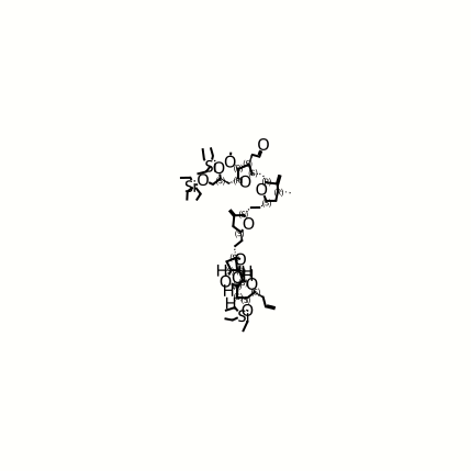 C=CC[C@@H]1O[C@H]2[C@@H]3O[C@H]4C[C@](CC[C@H]5CC(=C)[C@H](CC[C@H]6C[C@@H](C)C(=C)[C@@H](C[C@@H]7O[C@H](C[C@@H](CO[Si](CC)(CC)CC)O[Si](CC)(CC)CC)[C@H](OC)[C@H]7CC=O)O6)O5)(O[C@@H]3[C@H]1O[Si](CC)(CC)CC)O[C@H]24